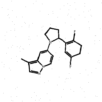 Cc1cnn2ccc(N3CCCC3C3=C(F)CCC(F)=C3)cc12